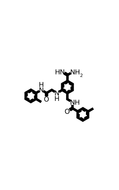 Cc1cccc(C(=O)NCc2ccc(C(=N)N)cc2NCC(=O)Nc2ccccc2C)c1